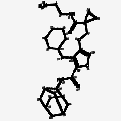 NCCNC(=O)C1(COc2noc(C(=O)NC3C4CC5CC(C4)CC3C5)c2SC2CCCCC2)CC1